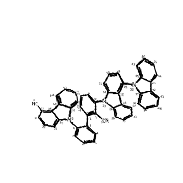 N#Cc1c(-c2ccccc2-n2c3ccccc3c3c(C#N)cccc32)cccc1-n1c2ccccc2c2c(-n3c4ccccc4c4ccccc43)cccc21